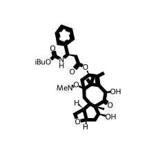 CNO[C@@]12CC3[C@@H]4CO[C@@H]4C[C@H](O)[C@@]3(C)C(=O)[C@H](O)C(=C(C)[C@@H](OC(=O)C[C@@H](NC(=O)OCC(C)C)c3ccccc3)C1)C2(C)C